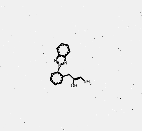 NC=C(O)Cc1ccccc1-n1nc2ccccc2n1